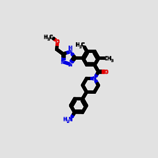 COCc1nnc(-c2cc(C(=O)N3CCC(c4ccc(N)cc4)CC3)c(C)cc2C)[nH]1